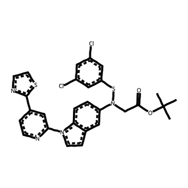 CC(C)(C)OC(=O)CN(Sc1cc(Cl)cc(Cl)c1)c1ccc2c(ccn2-c2cc(-c3nccs3)ccn2)c1